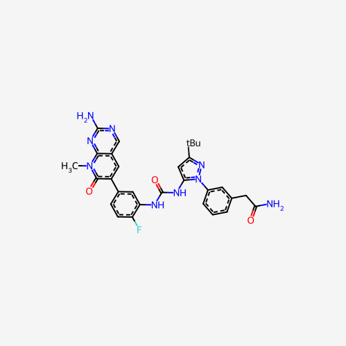 Cn1c(=O)c(-c2ccc(F)c(NC(=O)Nc3cc(C(C)(C)C)nn3-c3cccc(CC(N)=O)c3)c2)cc2cnc(N)nc21